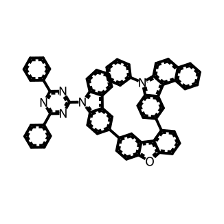 c1ccc(-c2nc(-c3ccccc3)nc(-n3c4ccccc4c4cc(-c5ccc6oc7cccc(-c8ccc9c(c8)c8c%10ccccc%10ccc8n9-c8ccccc8)c7c6c5)ccc43)n2)cc1